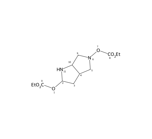 CCOC(=O)OC1CC2CN(OC(=O)OCC)CC2N1